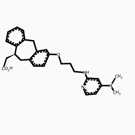 CN(C)c1ccnc(NCCCOc2ccc3c(c2)Cc2ccccc2[C@H](CC(=O)O)C3)c1